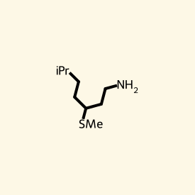 CSC(CCN)CCC(C)C